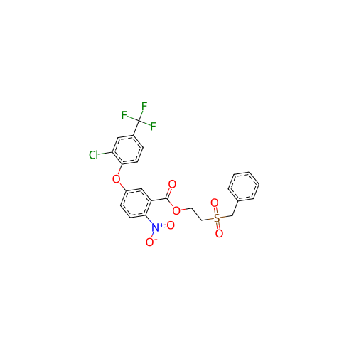 O=C(OCCS(=O)(=O)Cc1ccccc1)c1cc(Oc2ccc(C(F)(F)F)cc2Cl)ccc1[N+](=O)[O-]